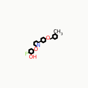 Cc1cccc(COc2ccc(-c3cccc(Oc4ccc(F)c(O)c4)n3)cc2)c1